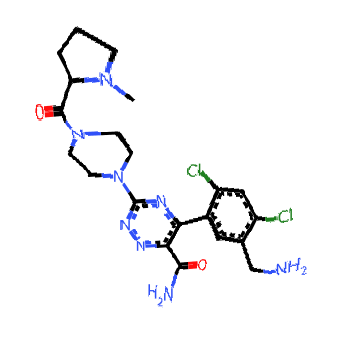 CN1CCCC1C(=O)N1CCN(c2nnc(C(N)=O)c(-c3cc(CN)c(Cl)cc3Cl)n2)CC1